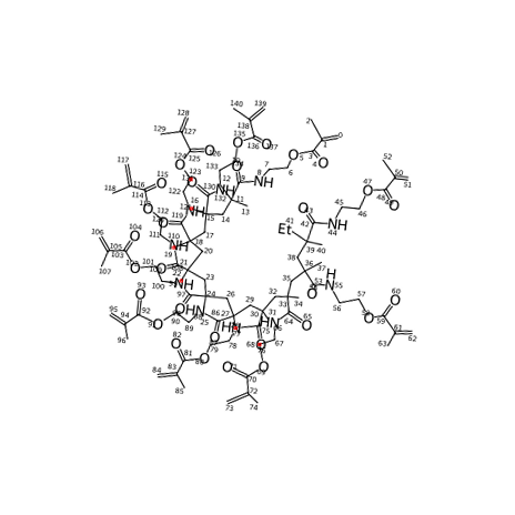 C=C(C)C(=O)OCCNC(=O)C(C)(C)CC(C)(CC(C)(CC(C)(CC(C)(CC(C)(CC(C)(CC(C)(CC(C)(CC(C)(CC)C(=O)NCCOC(=O)C(=C)C)C(=O)NCCOC(=O)C(=C)C)C(=O)NCCOC(=O)C(=C)C)C(=O)NCCOC(=O)C(=C)C)C(=O)NCCOC(=O)C(=C)C)C(=O)NCCOC(=O)C(=C)C)C(=O)NCCOC(=O)C(=C)C)C(=O)NCCOC(=O)C(=C)C)C(=O)NCCOC(=O)C(=C)C